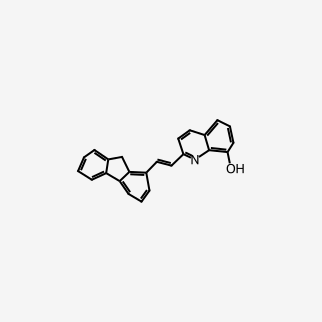 Oc1cccc2ccc(C=Cc3cccc4c3Cc3ccccc3-4)nc12